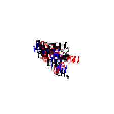 CCCC(=O)OCN(C(=O)[C@@H](NC(=O)[C@H]1CCCCN1C)C(C)CC)[C@H](C[C@@H](OC(C)=O)c1nc(C(=O)N[C@@H](Cc2ccc(O)cc2)C[C@H](C)C(=O)NNC(C)=O)cs1)C(C)C